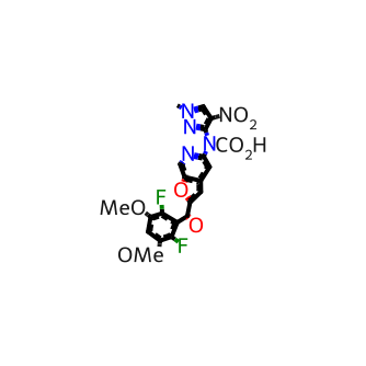 COc1cc(OC)c(F)c(C(=O)c2cc3cc(N(C(=O)O)c4nn(C)cc4[N+](=O)[O-])ncc3o2)c1F